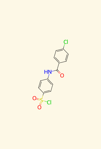 O=C(Nc1ccc(S(=O)(=O)Cl)cc1)c1ccc(Cl)cc1